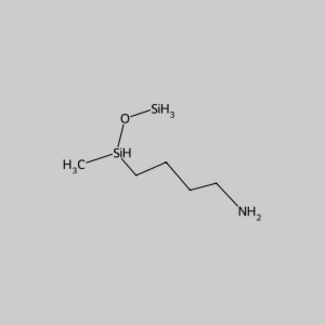 C[SiH](CCCCN)O[SiH3]